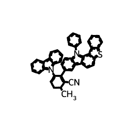 CC1CC=C(n2c3ccccc3c3ccccc32)C(c2ccc3c(c2)c2ccc4sc5ccccc5c4c2n3-c2ccccc2)=C1C#N